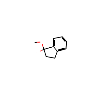 OC1(O[SiH3])CCc2ccccc21